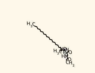 C=CC(=O)NCC(OC(=O)C(=C)CCCCCCCCCCCCCCCCCCC)C(N)=O